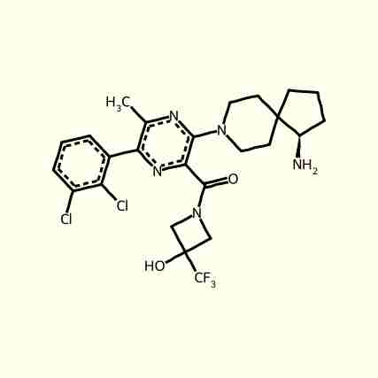 Cc1nc(N2CCC3(CCC[C@H]3N)CC2)c(C(=O)N2CC(O)(C(F)(F)F)C2)nc1-c1cccc(Cl)c1Cl